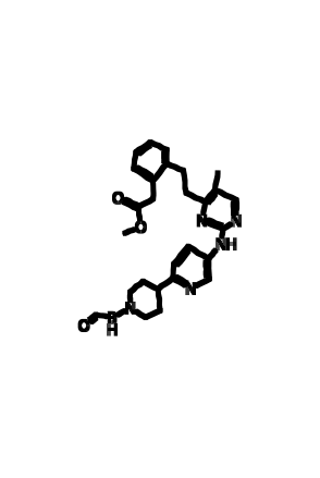 COC(=O)Cc1ccccc1CCc1nc(Nc2ccc(C3CCN(BC=O)CC3)nc2)ncc1C